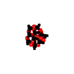 C[Si]12O[Si]3(C)O[Si](C)(O1)O[Si]1(C)O[Si]4(C)O[Si]5(C)O[Si](C)(O[Si](C)(O2)O4)O[Si](C)(O3)O[Si](C)(O5)O1